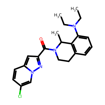 CCN(CC)c1cccc2c1C(C)N(C(=O)c1cc3ccc(Cl)cn3n1)CC2